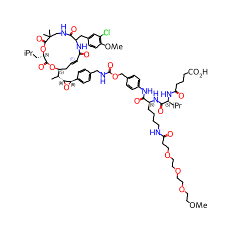 COCCOCCOCCOCCC(=O)NCCCC[C@H](NC(=O)[C@@H](NC(=O)CCCC(=O)O)C(C)C)C(=O)Nc1ccc(COC(=O)NCc2ccc([C@H]3O[C@@H]3C(C)[C@@H]3C/C=C/C(=O)NC(Cc4ccc(OC)c(Cl)c4)C(=O)NCC(C)(C)C(=O)O[C@@H](CC(C)C)C(=O)O3)cc2)cc1